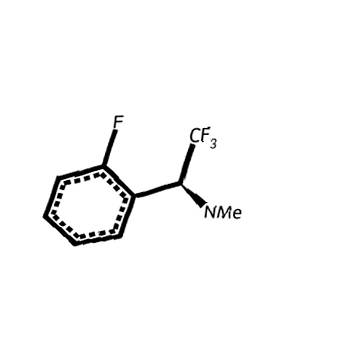 CN[C@@H](c1ccccc1F)C(F)(F)F